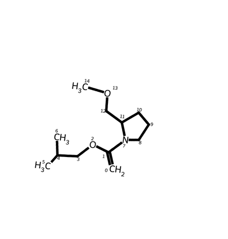 C=C(OCC(C)C)N1CCCC1COC